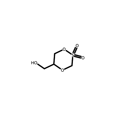 O=S1(=O)COC(CO)CO1